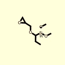 CCC(OCC1CO1)[SiH](OC)OC